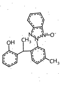 Cc1ccc(C(C)c2ccccc2O)c(-n2nc3ccccc3[n+]2[O-])c1